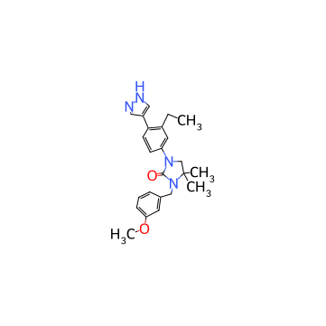 CCc1cc(N2CC(C)(C)N(Cc3cccc(OC)c3)C2=O)ccc1-c1cn[nH]c1